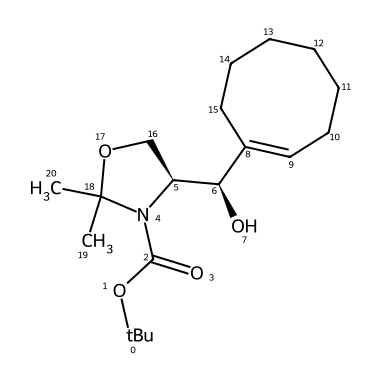 CC(C)(C)OC(=O)N1[C@H]([C@H](O)/C2=C/CCCCCC2)COC1(C)C